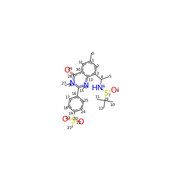 Cc1cc(C(C)N[S@+]([O-])C(C)(C)C)c2nc(-c3ccc(S(C)(=O)=O)cc3)n(C)c(=O)c2c1